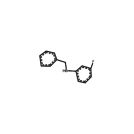 Fc1cccc(BCc2ccccc2)c1